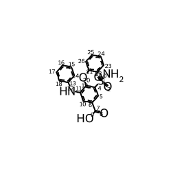 NS(=O)(=O)c1cc(C(=O)O)cc(Nc2ccccc2)c1Oc1ccccc1